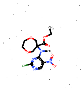 CCOC(=O)C1(N(C)c2nc(Cl)ncc2[N+](=O)[O-])COCCOC1